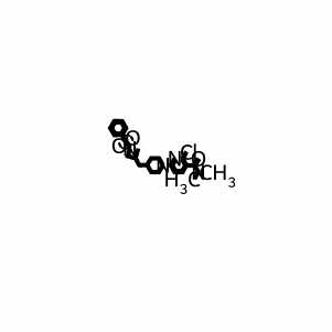 CN(C)C(=O)c1ccc(N2CCC(CC3CN(S(=O)(=O)c4ccccc4)C3)CC2)nc1Cl